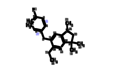 C=C(F)/C=C\C(=C/C)Cc1cc2c(nc1CC)C(C)(C)CN2C